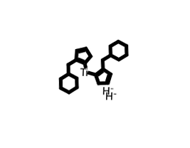 C1=CC(CC2CCCCC2)=[C]([Ti][C]2=C(CC3CCCCC3)C=CC2)C1.[H-].[H-]